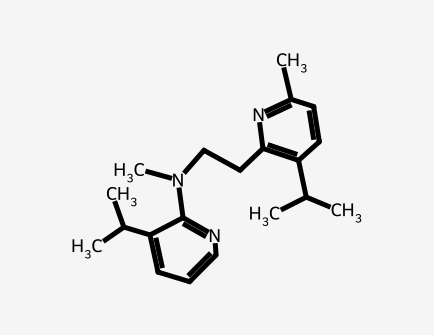 Cc1ccc(C(C)C)c(CCN(C)c2ncccc2C(C)C)n1